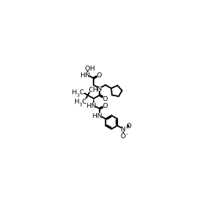 CC(C)(C)[C@H](NC(=O)Nc1ccc([N+](=O)[O-])cc1)C(=O)N(CC(=O)NO)CC1CCCC1